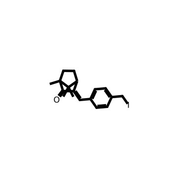 CC12CCC(C(=Cc3ccc(CI)cc3)C1=O)C2(C)C